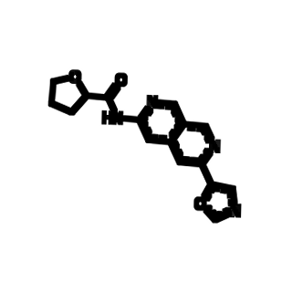 O=C(Nc1cc2cc(-c3cnco3)ncc2cn1)C1CCCO1